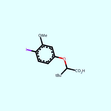 COc1cc(OC(C(=O)O)C(C)(C)C)ccc1I